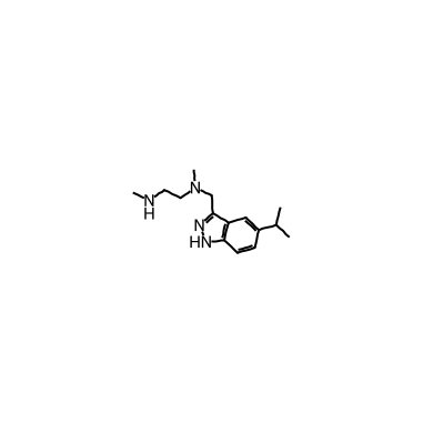 CNCCN(C)Cc1n[nH]c2ccc(C(C)C)cc12